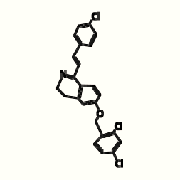 Clc1ccc(C=CC2=NCCc3cc(OCc4ccc(Cl)cc4Cl)ccc32)cc1